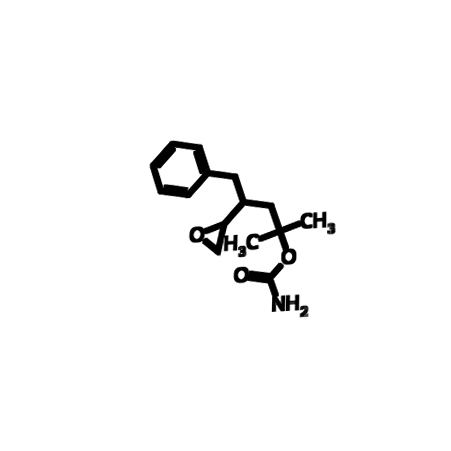 CC(C)(CC(Cc1ccccc1)C1CO1)OC(N)=O